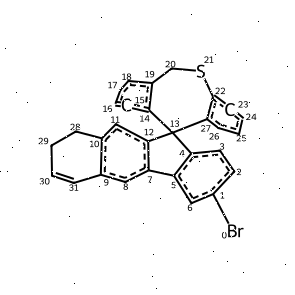 Brc1ccc2c(c1)-c1cc3c(cc1C21c2ccccc2CSc2ccccc21)CCC=C3